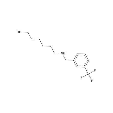 OCCCCCCNCc1cccc(C(F)(F)F)c1